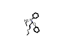 CCS.CCS/C=C/C(=N/c1ccccc1)Oc1ccccc1